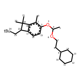 Cc1c(OC(C)OCCC2CCCCC2)ccc2c1C(C)(C)C2CC(C)(C)C